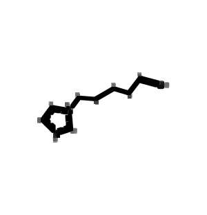 O=CCCCCn1ccnc1